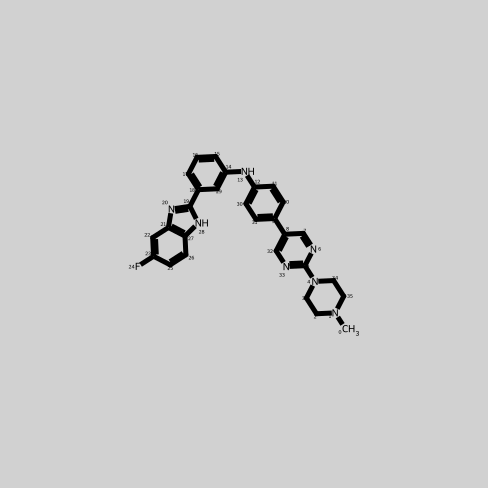 CN1CCN(c2ncc(-c3ccc(Nc4cccc(-c5nc6cc(F)ccc6[nH]5)c4)cc3)cn2)CC1